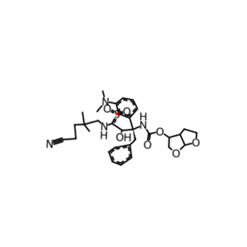 CN(C)c1cccc([C@](Cc2ccccc2)(NC(=O)OC2COC3OCCC23)[C@@H](O)C(NCC(C)(C)CCC#N)=S(=O)=O)c1